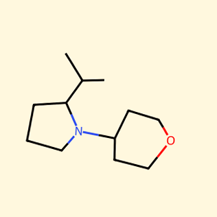 CC(C)C1CCCN1C1CCOCC1